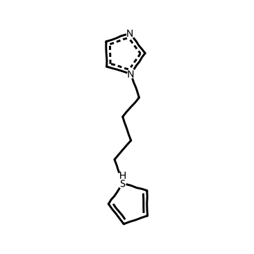 C1=C[SH](CCCCn2ccnc2)C=C1